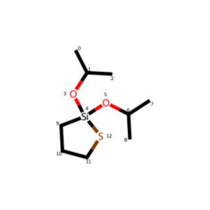 CC(C)O[Si]1(OC(C)C)CCCS1